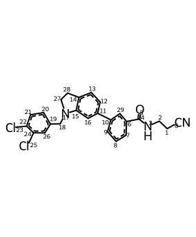 N#CCCNC(=O)c1cccc(-c2ccc3c(c2)N(Cc2ccc(Cl)c(Cl)c2)CC3)c1